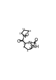 O=C(C1CCC2CN1C(=O)N2)N1CCCO1